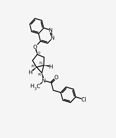 CN(C(=O)Cc1ccc(Cl)cc1)[C@H]1[C@@H]2C[C@@H](Oc3cnnc4ccccc34)C[C@@H]21